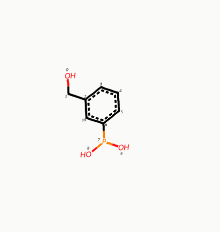 OCc1cccc(P(O)O)c1